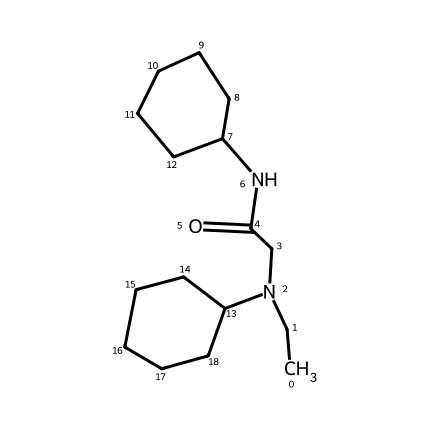 CCN(CC(=O)NC1CCCCC1)C1CCCCC1